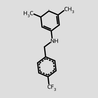 CC1=CC(NCc2ccc(C(F)(F)F)cc2)=CC(C)[CH]1